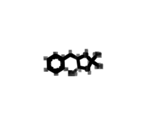 CC[C@H]1OC(CC)(CC)O[C@@H]1Cc1ccccc1